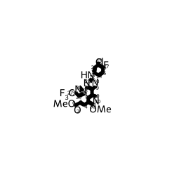 COC(=O)C=Cc1cc(-c2cnc(Nc3ccc(F)c(Cl)c3)nc2-n2ccc(C(F)(F)F)n2)cnc1OC